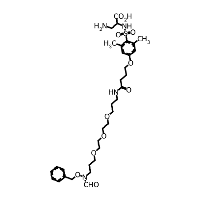 Cc1cc(OCCCC(=O)NCCCOCCOCCOCCCN(C=O)OCc2ccccc2)cc(C)c1S(=O)(=O)NC(CN)C(=O)O